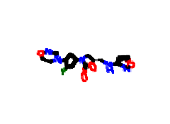 O=C1O[C@@H](CNc2ccon2)CN1c1ccc(N2C=NOCC2)c(F)c1